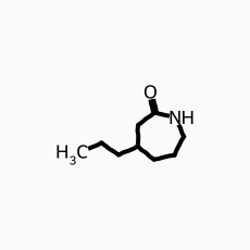 CCCC1CCCNC(=O)C1